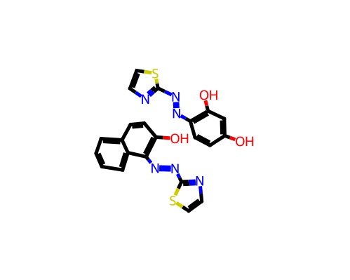 Oc1ccc(/N=N/c2nccs2)c(O)c1.Oc1ccc2ccccc2c1/N=N/c1nccs1